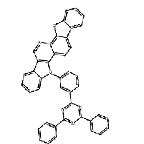 c1ccc(-c2nc(-c3ccccc3)nc(-c3cccc(-n4c5ccccc5c5cnc6c(ccc7c8ccccc8oc76)c54)c3)n2)cc1